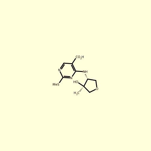 CSc1ncc(C(=O)O)c(N[C@@H]2COC[C@@]2(C)O)n1